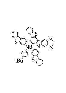 CC(C)(C)c1ccc(N2B3c4cc5sc6ccccc6c5cc4-n4c5cc6c(cc5c5c7sc8ccccc8c7c(c3c54)-c3cc4c(cc32)sc2ccccc24)C(C)(C)CCC6(C)C)cc1